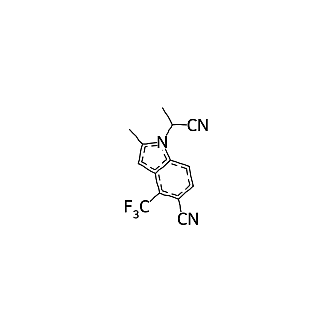 Cc1cc2c(C(F)(F)F)c(C#N)ccc2n1C(C)C#N